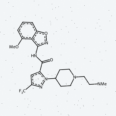 CNCCN1CCC(n2nc(C(F)(F)F)cc2C(=O)Nc2noc3cccc(OC)c23)CC1